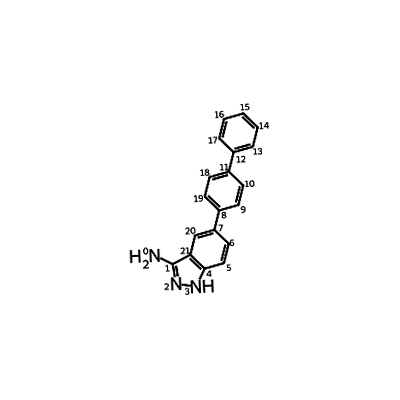 Nc1n[nH]c2ccc(-c3ccc(-c4ccccc4)cc3)cc12